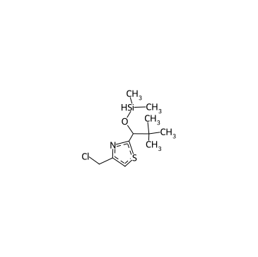 C[SiH](C)OC(c1nc(CCl)cs1)C(C)(C)C